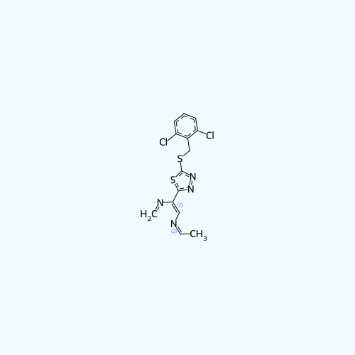 C=N/C(=C\N=C/C)c1nnc(SCc2c(Cl)cccc2Cl)s1